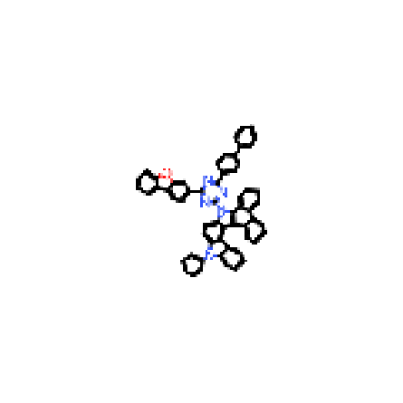 c1ccc(-c2ccc(-c3nc(-c4ccc5c(c4)oc4ccccc45)nc(-n4c5ccc6c(c7ccccc7n6-c6ccccc6)c5c5c6ccccc6c6ccccc6c54)n3)cc2)cc1